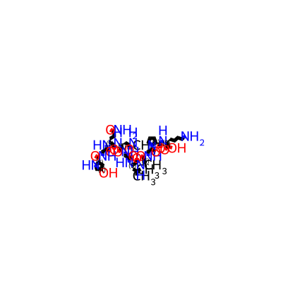 CNC(=O)C[C@H](NC(=O)[C@H](CCC(N)=O)NC(=O)CNC(=O)[C@@H]1C[C@@H](O)CN1)C(=O)NCC(=O)N[C@@H](CC(C)C)C(=O)N[C@@H](C)C(=O)NCC(=O)N1CCC[C@H]1C(=O)N[C@@H](CCCCN)C(=O)O